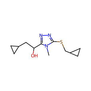 Cn1c(SCC2CC2)nnc1C(O)CC1CC1